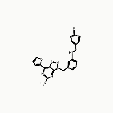 Nc1nc(-c2ccco2)c2nnn(Cc3cccc(NCc4ccc(F)cc4)c3)c2n1